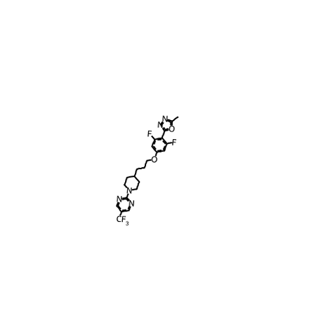 Cc1nnc(-c2c(F)cc(OCCCC3CCN(c4ncc(C(F)(F)F)cn4)CC3)cc2F)o1